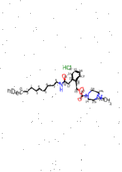 CCCCCCCCCCCCCCCCCCNC(=O)Cc1ccccc1COC(=O)N1CCN(C)CC1.Cl